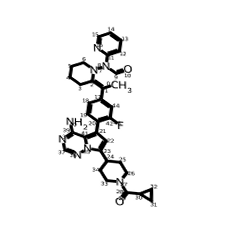 C/C(=C1/CCCCN1N(C=O)c1ccccn1)c1ccc(-c2cc(C3CCN(C(=O)C4CC4)CC3)n3ncnc(N)c23)c(F)c1